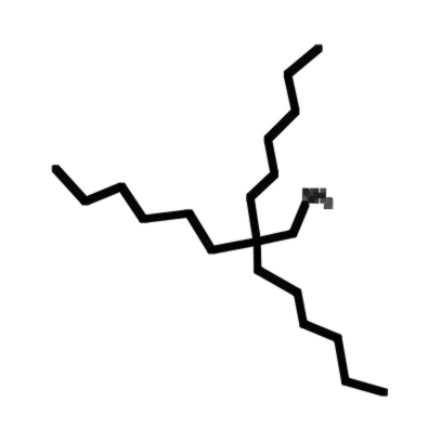 CCCCCCC(CN)(CCCCCC)CCCCCC